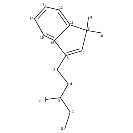 CCC(I)CCC1=CC(C)(C)c2ccccc21